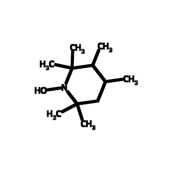 CC1CC(C)(C)N(O)C(C)(C)C1C